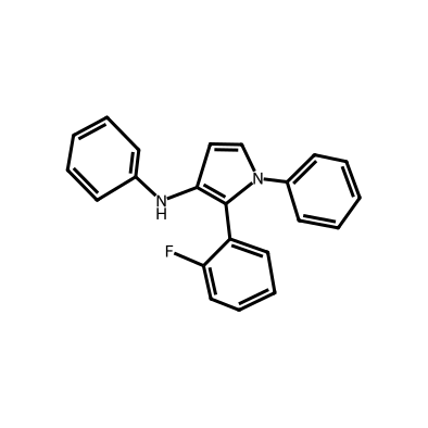 Fc1ccccc1-c1c(Nc2ccccc2)ccn1-c1ccccc1